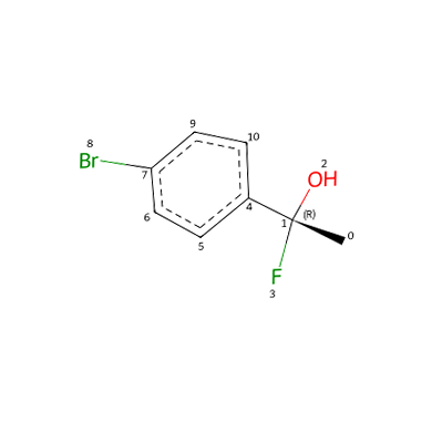 C[C@@](O)(F)c1ccc(Br)cc1